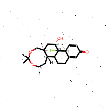 C[C@H]1C[C@H]2C3CCC4=CC(=O)C=C[C@]4(C)[C@@]3(F)[C@@H](O)C[C@]2(C)COC(C)(C)O1